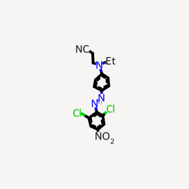 CCN(CCC#N)c1ccc(/N=N/c2c(Cl)cc([N+](=O)[O-])cc2Cl)cc1